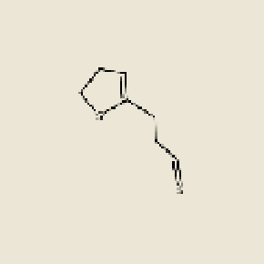 S=CCCC1=CCCS1